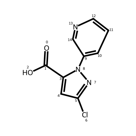 O=C(O)c1cc(Cl)nn1-c1cccnc1